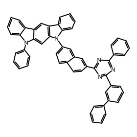 c1ccc(-c2cccc(-c3nc(-c4ccccc4)nc(-c4ccc5ccc(-n6c7ccccc7c7cc8c9ccccc9n(-c9ccccc9)c8cc76)cc5c4)n3)c2)cc1